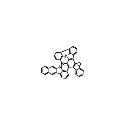 c1ccc2cc3c(cc2c1)c1cccc2c1n3B1c3cccc4c5cccc6c7c8oc9ccccc9c8c-2c1c7n(c34)c56